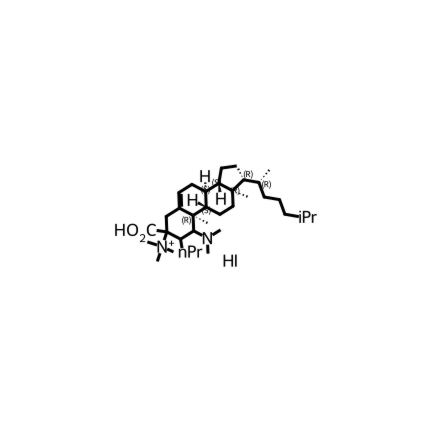 CCCC1C(N(C)C)[C@@]2(C)C(=CC[C@H]3[C@@H]4CC[C@H]([C@H](C)CCCC(C)C)[C@@]4(C)CC[C@@H]32)CC1(C(=O)O)[N+](C)(C)C.I